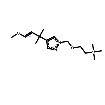 CO/C=C/C(C)(C)c1cnn(COCC[Si](C)(C)C)c1